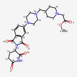 CC(C)(C)OC(=O)CN1CCC(CN2CCN(c3ccc4c(c3)C(=O)N(C3CCC(=O)NC3=O)C4=O)CC2)CC1